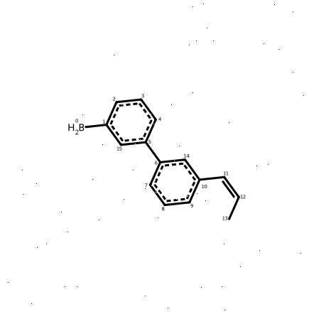 Bc1cccc(-c2cccc(/C=C\C)c2)c1